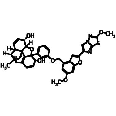 COc1cc(COc2cccc(C34O[C@H]5[C@@H](O)C=C[C@H]6[C@H]7CC(=C3[C@]65CCN7C)C=CC4O)c2)c2cc(-c3cn4nc(OC)sc4n3)oc2c1